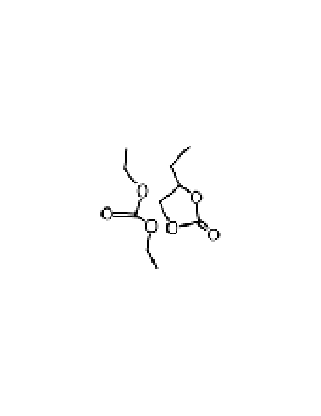 CCC1COC(=O)O1.CCOC(=O)OCC